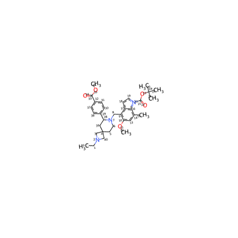 CCN1CC2(CCN(Cc3c(OC)cc(C)c4c3ccn4C(=O)OC(C)(C)C)C(c3ccc(C(=O)OC)cc3)C2)C1